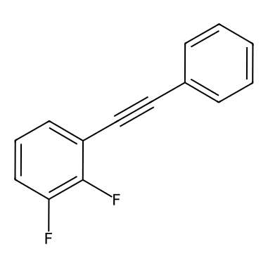 Fc1cccc(C#Cc2ccccc2)c1F